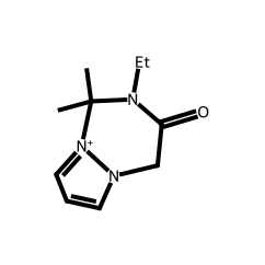 CCN1C(=O)Cn2ccc[n+]2C1(C)C